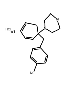 Cl.Cl.N#Cc1ccc(CC2(N3CCNCC3)C=CC=CC2)cc1